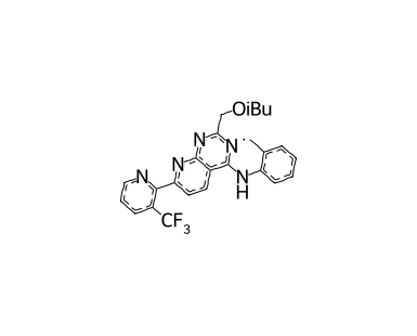 [CH2]c1ccccc1Nc1nc(COCC(C)C)nc2nc(-c3ncccc3C(F)(F)F)ccc12